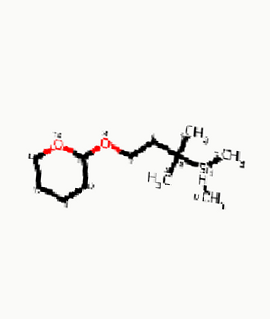 C[SiH](C)C(C)(C)CCOC1CCCCO1